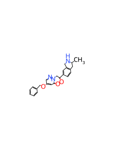 CC1Cc2ccc(C(=O)Cn3ncc(OCc4ccccc4)cc3=O)cc2CN1